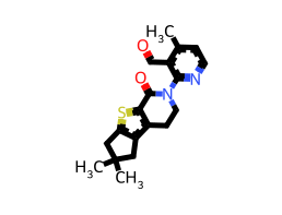 Cc1ccnc(N2CCc3c(sc4c3CC(C)(C)C4)C2=O)c1C=O